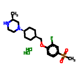 C[C@H]1CN([C@H]2CC[C@H](COc3ccc(S(C)(=O)=O)cc3F)CC2)CCN1.Cl.Cl